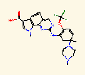 CN1CCN(C2(C)C=CC(OC(F)(F)F)=C(Nc3ncc4ccc5c(C(=O)O)cn(C)c5c4n3)C2)CC1